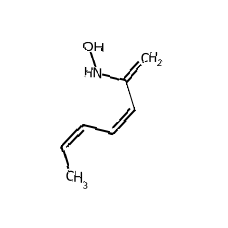 C=C(/C=C\C=C/C)NO